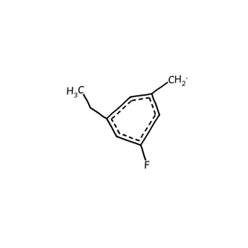 [CH2]c1cc(F)cc(CC)c1